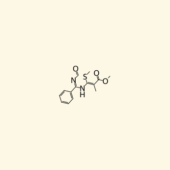 COC(=O)/C(C)=C(/N/C(=N\C=O)c1ccccc1)SC